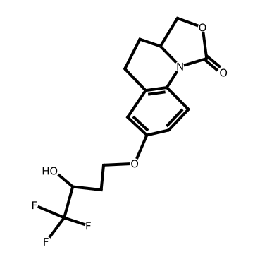 O=C1OCC2CCc3cc(OCCC(O)C(F)(F)F)ccc3N12